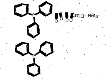 [Au+].[C]=O.[C]=O.[C]=O.[C]=O.[Cl-].[Cl-].[Cl-].[Ni+2].c1ccc(P(c2ccccc2)c2ccccc2)cc1.c1ccc(P(c2ccccc2)c2ccccc2)cc1